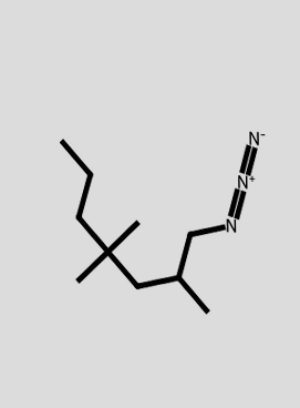 CCCC(C)(C)CC(C)CN=[N+]=[N-]